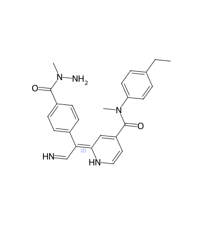 CCc1ccc(N(C)C(=O)C2=C/C(=C(/C=N)c3ccc(C(=O)N(C)N)cc3)NC=C2)cc1